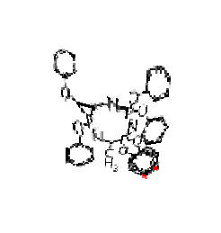 C[C@H]1N=P2(Oc3ccccc3)C(N=P(Oc3ccccc3)(Oc3ccccc3)N=P1(Oc1ccccc1)Oc1ccccc1)C2Oc1ccccc1